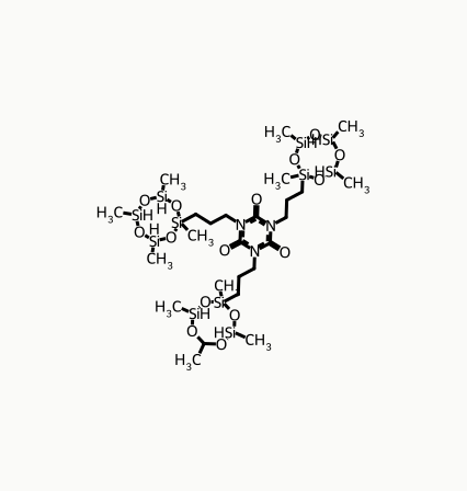 CC1O[SiH](C)O[Si](C)(CCCn2c(=O)n(CCC[Si]3(C)O[SiH](C)O[SiH](C)O[SiH](C)O3)c(=O)n(CCC[Si]3(C)O[SiH](C)O[SiH](C)O[SiH](C)O3)c2=O)O[SiH](C)O1